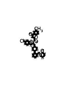 Cc1ccc2oc(C(=O)N/C(C=C3CCC(c4ccccc4CN4CCCCC4=O)CC3)=C\c3ccc(Cl)cc3)cc(=O)c2c1